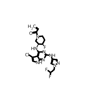 C=CC(=O)N1CC[C@@H](F)[C@@H](Nc2nc(Nc3cnn(CC(F)F)c3)nc3[nH]cc(Cl)c23)C1